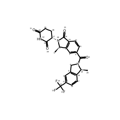 C[C@@H]1c2cc(C(=O)N3Cc4cc(C(F)(F)F)ccc4[C@@H]3C)ccc2C(=O)N1[C@H]1CCC(=O)NC1=O